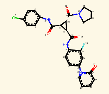 O=C(Nc1ccc(Cl)cc1)[C@@H]1[C@H](C(=O)Nc2ccc(-n3ccccc3=O)cc2F)[C@H]1C(=O)N1CCCC1